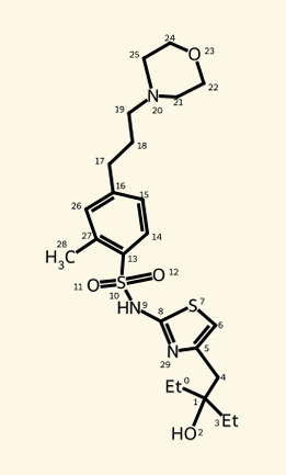 CCC(O)(CC)Cc1csc(NS(=O)(=O)c2ccc(CCCN3CCOCC3)cc2C)n1